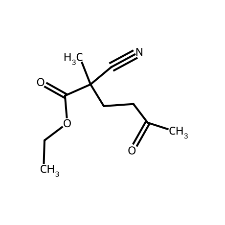 CCOC(=O)C(C)(C#N)CCC(C)=O